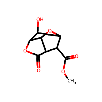 COC(=O)C1C2OC3C(OC(=O)C31)C2O